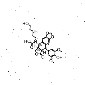 COc1cc([C@@H]2c3cc4c(cc3[C@@H](N(CCNCCO)C(=O)O)[C@H]3COC(=O)[C@@H]23)OCO4)cc(OC)c1O